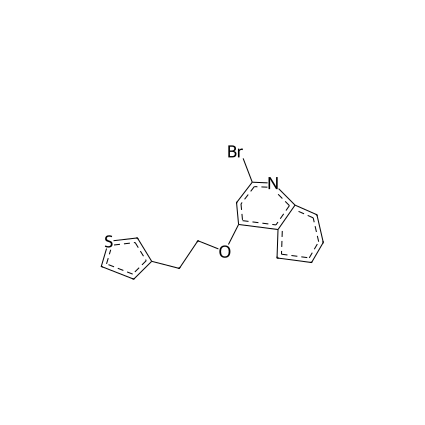 Brc1cc(OCCc2ccsc2)c2ccccc2n1